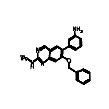 CC(C)Nc1ncc2cc(-c3cccc(N)c3)c(OCc3ccccc3)cc2n1